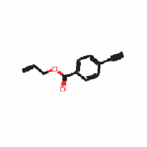 C#Cc1ccc(C(=O)OCC=C)cc1